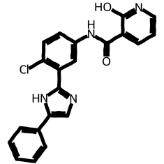 O=C(Nc1ccc(Cl)c(-c2ncc(-c3ccccc3)[nH]2)c1)c1cccnc1O